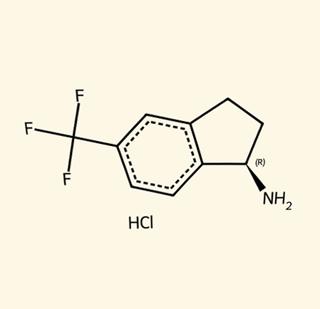 Cl.N[C@@H]1CCc2cc(C(F)(F)F)ccc21